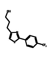 OCCCc1csc(-c2ccc(C(F)(F)F)cc2)n1